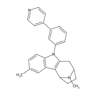 Cc1ccc2c(c1)c1c(n2-c2cccc(-c3ccncc3)c2)CC2CCC1N2C